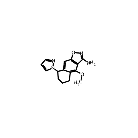 COc1c2c(cc3onc(N)c13)C(n1cccn1)CCC2